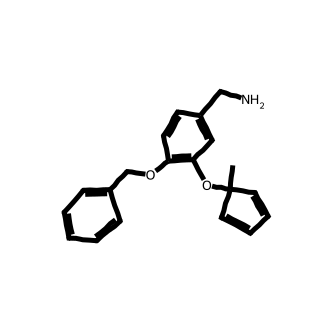 CC1(Oc2cc(CN)ccc2OCc2ccccc2)C=CC=C1